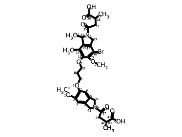 COc1cc2c(cc1OCCCOc1c(C)c3c(c(Br)c1OC)CN(C(=O)CC(C)C(=O)O)C3C)CN(C(=O)C[C@H](C)C(=O)O)C2